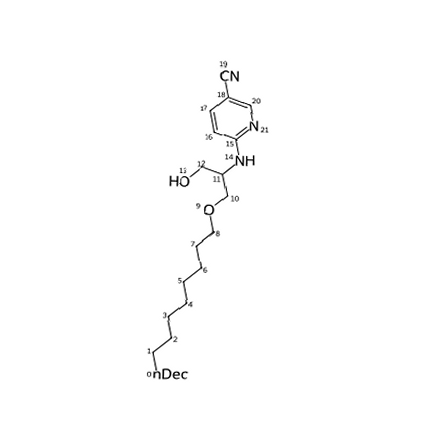 CCCCCCCCCCCCCCCCCCOCC(CO)Nc1ccc(C#N)cn1